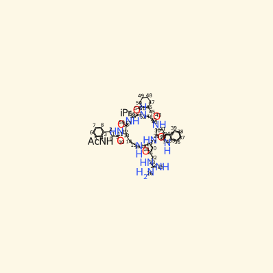 CC(=O)N[C@@H](Cc1ccccc1)C(=O)N[C@H]1CCCNC(=O)[C@H](CCCNC(=N)N)NC(=O)[C@H](Cc2c[nH]c3ccccc23)NC(=O)[C@@H](CC2CCCCC2)NC(=O)[C@H](C(C)C)NC1=O